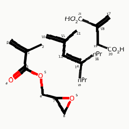 C=C(C)C(=O)OCC1CO1.C=C(C)C=C(CCC)CCC.C=C(CC(=O)O)C(=O)O